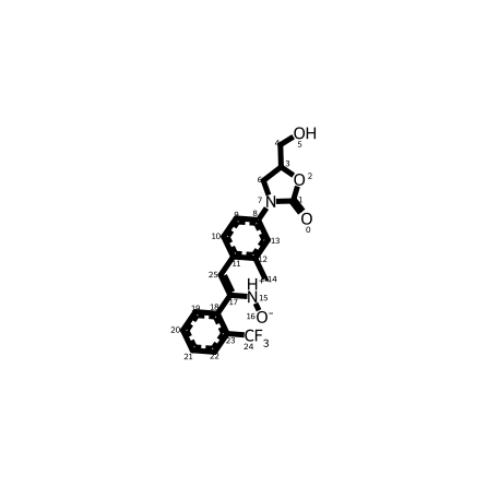 O=C1OC(CO)CN1c1ccc2c(c1)C[NH+]([O-])C(c1ccccc1C(F)(F)F)=C2